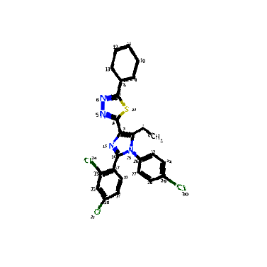 CCc1c(-c2nnc(C3CCCCC3)s2)nc(-c2ccc(Cl)cc2Cl)n1-c1ccc(Cl)cc1